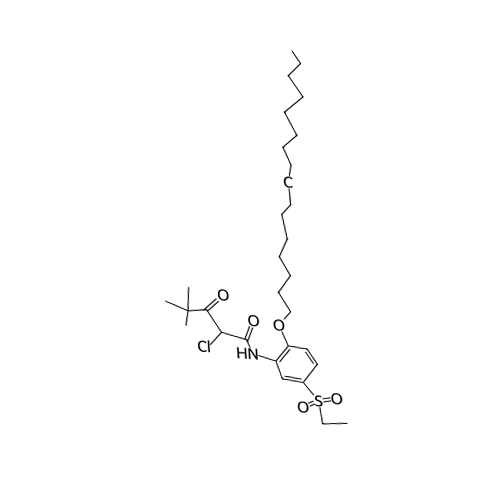 CCCCCCCCCCCCCCCCOc1ccc(S(=O)(=O)CC)cc1NC(=O)C(Cl)C(=O)C(C)(C)C